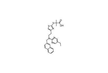 CCc1cnc(N(CCc2csc(SC(C)(C)C(=O)O)n2)Cc2ccc3ccccc3c2)nc1